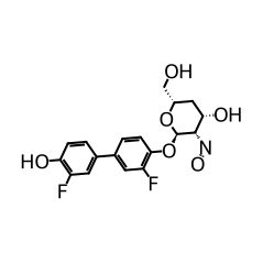 O=N[C@@H]1[C@@H](Oc2ccc(-c3ccc(O)c(F)c3)cc2F)O[C@H](CO)C[C@@H]1O